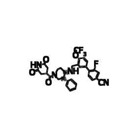 N#Cc1ccc(-c2ccc(OC(F)(F)F)c(CN[C@H]3CCN(C(=O)C4CC(=O)NC(=O)C4)C[C@H]3c3ccccc3)c2)c(F)c1